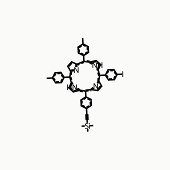 Cc1ccc(-c2c3nc(c(-c4ccc(C)cc4)c4ccc([nH]4)c(-c4ccc(C#C[Si](C)(C)C)cc4)c4nc(c(-c5ccc(I)cc5)c5ccc2[nH]5)C=C4)C=C3)cc1